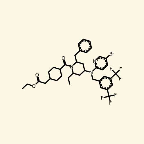 CCOC(=O)CC1CCC(C(=O)N2C(CC)CC(N(Cc3cc(C(F)(F)F)cc(C(F)(F)F)c3)c3ccc(Br)cn3)CC2Cc2ccccc2)CC1